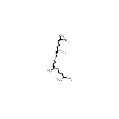 CC(C)=CCC/C(C)=C\COC/C=C(\C)CCC=C(C)C